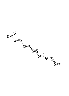 S=S=S=S=S=S=S=S=S=S=S=S=S(=S)=S